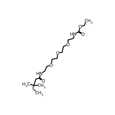 CCOC(=O)NCCOCCOCCOCCNC(=O)CC(C)(C)SC